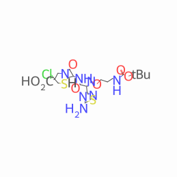 CC(C)(C)OC(=O)NCCCON=C(C(=O)NC1C(=O)N2CC(Cl)(C(=O)O)CS[C@H]12)c1nsc(N)n1